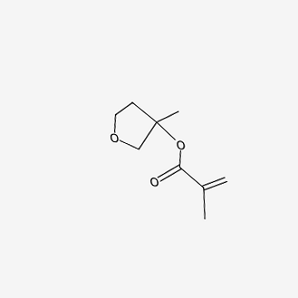 C=C(C)C(=O)OC1(C)CCOC1